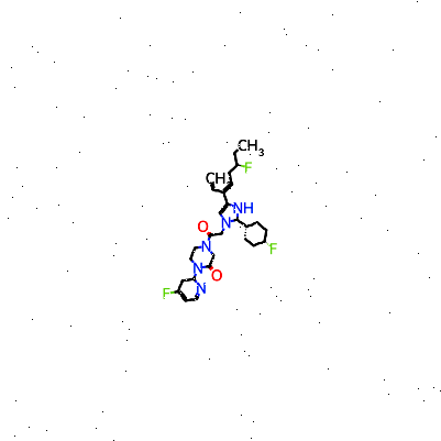 C=C/C(=C\C[C@H](F)CC)C1=CN(CC(=O)N2CCN(C3CC(F)=CC=N3)C(=O)C2)[C@H]([C@H]2CC[C@@H](F)CC2)N1